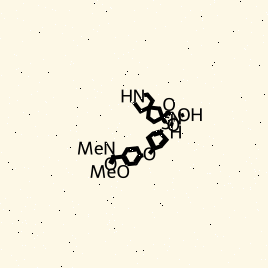 CNC(=O)c1ccc(Oc2ccc([S+]([O-])C3(C(=O)NO)CCC4(CCNCC4)C3)cc2)cc1OC